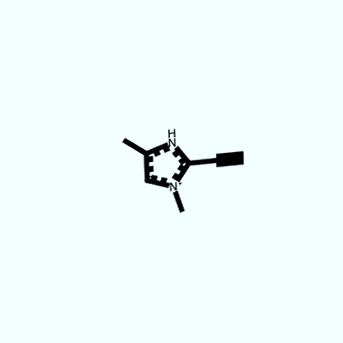 C#Cc1[nH]c(C)c[n+]1C